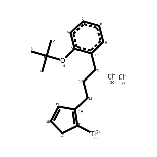 CC(C)(C)Oc1ccccc1CCCC1=[C]([Ti+2])CC=C1.[Cl-].[Cl-]